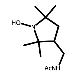 CC(=O)NCC1CC(C)(C)N(O)C1(C)C